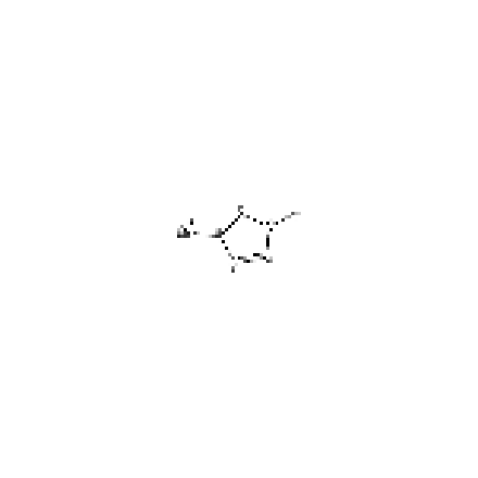 CN1[C]C(Br)C=C1